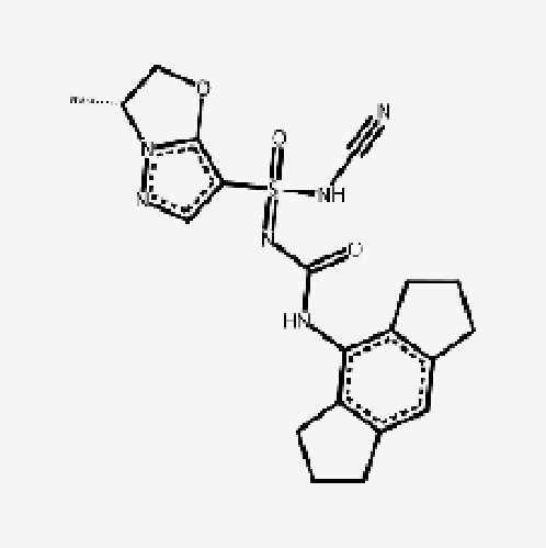 C[C@@H]1COc2c([S@](=O)(=NC(=O)Nc3c4c(cc5c3CCC5)CCC4)NC#N)cnn21